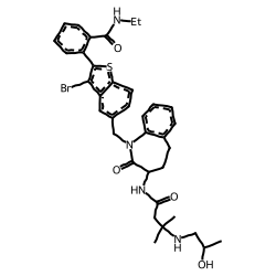 CCNC(=O)c1ccccc1-c1sc2ccc(CN3C(=O)C(NC(=O)CC(C)(C)NCC(C)O)CCc4ccccc43)cc2c1Br